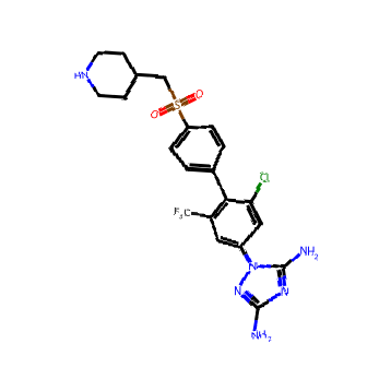 Nc1nc(N)n(-c2cc(Cl)c(-c3ccc(S(=O)(=O)CC4CCNCC4)cc3)c(C(F)(F)F)c2)n1